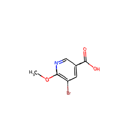 COc1ncc(C(=O)O)cc1Br